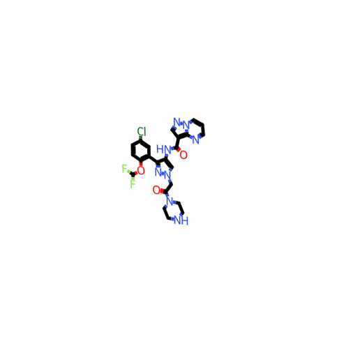 O=C(Nc1cn(CC(=O)N2CCNCC2)nc1-c1cc(Cl)ccc1OC(F)F)c1cnn2cccnc12